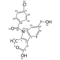 Cc1c(CC(=O)O)c2ccc(CO)cc2n1C(=O)c1ccc(Cl)cc1